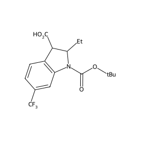 CCC1C(C(=O)O)c2ccc(C(F)(F)F)cc2N1C(=O)OC(C)(C)C